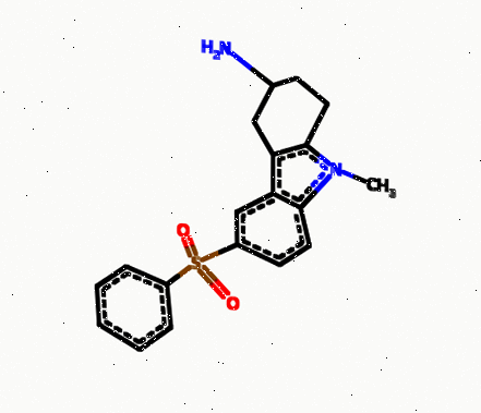 Cn1c2c(c3cc(S(=O)(=O)c4ccccc4)ccc31)CC(N)CC2